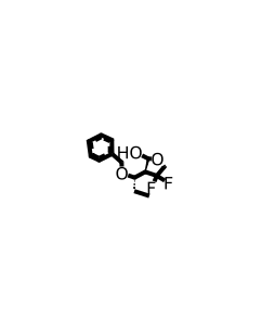 CC[C@H](OCc1ccccc1)[C@H]1C(O)OCC1(F)F